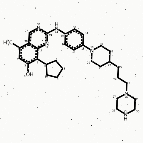 Cc1cc(O)c(C2CCCC2)c2nc(Nc3ccc(N4CCC(CCCN5CCNCC5)CC4)cc3)ncc12